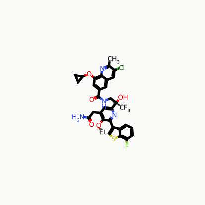 CCOc1c(CC(N)=O)cc([C@@](O)(CNC(=O)c2cc(OC3CC3)c3nc(C)c(Cl)cc3c2)C(F)(F)F)nc1-c1csc2c(F)cccc12